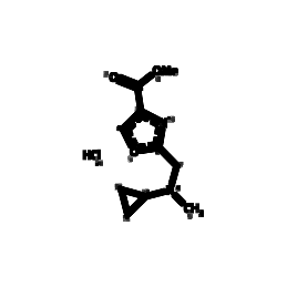 COC(=O)c1coc(CN(C)C2CC2)n1.Cl